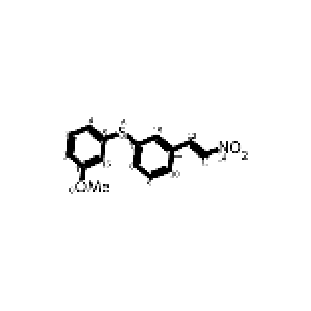 COc1cccc(Sc2cccc(C=C[N+](=O)[O-])c2)c1